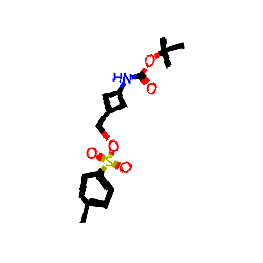 Cc1ccc(S(=O)(=O)OCC2CC(NC(=O)OC(C)(C)C)C2)cc1